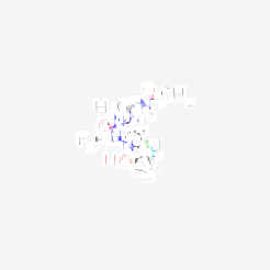 C=CC(=O)N1CCN(c2nc(=O)n(CC(F)(F)F)c3nc(-c4c(O)cccc4F)c(Cl)cc23)[C@@H](C)C1